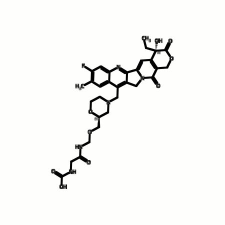 CC[C@@]1(O)C(=O)OCc2c1cc1n(c2=O)Cc2c-1nc1cc(F)c(C)cc1c2CN1CCO[C@H](COCNC(=O)CNC(=O)O)C1